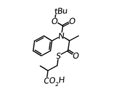 CC(CSC(=O)C(C)N(C(=O)OC(C)(C)C)c1ccccc1)C(=O)O